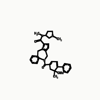 COC1(C)CC(C(=O)N2Cc3ccc(C(=O)N(C)C4CCN(C)C4)n3Cc3ccccc32)=CC=C1c1ccccc1